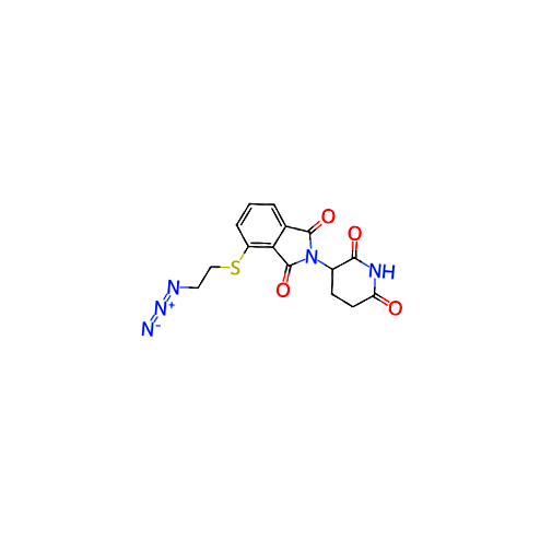 [N-]=[N+]=NCCSc1cccc2c1C(=O)N(C1CCC(=O)NC1=O)C2=O